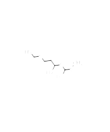 CSC(S)SC(S)CCSCS